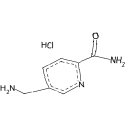 Cl.NCc1ccc(C(N)=O)nc1